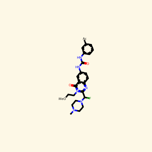 COCCn1c(C(F)N2CCN(C)CC2)nc2ccc(NC(=O)Nc3cccc(C(C)=O)c3)cc2c1=O